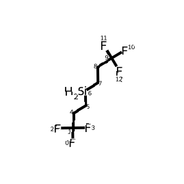 FC(F)(F)CC[SiH2]CCC(F)(F)F